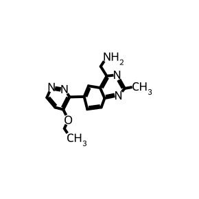 CCOc1ccnnc1-c1ccc2nc(C)nc(CN)c2c1